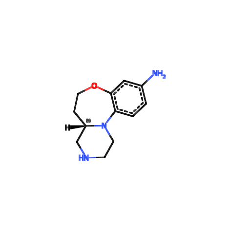 Nc1ccc2c(c1)OCC[C@H]1CNCCN21